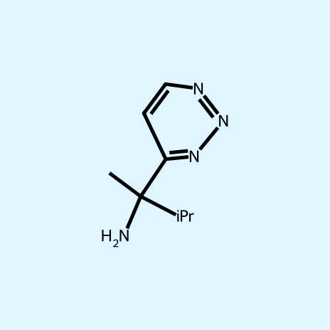 CC(C)C(C)(N)c1ccnnn1